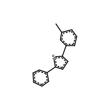 Cc1cccc(-c2ccc(-c3ccccc3)s2)c1